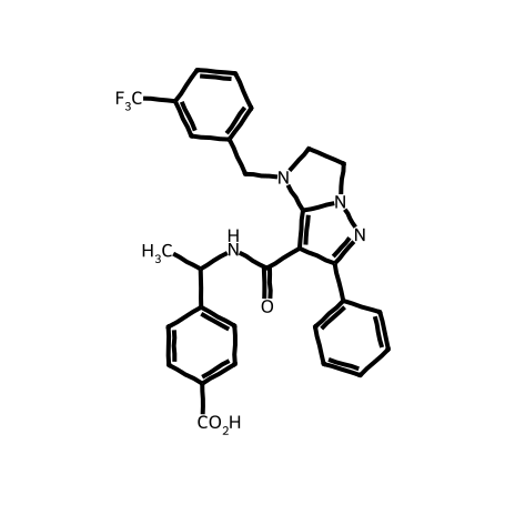 CC(NC(=O)c1c(-c2ccccc2)nn2c1N(Cc1cccc(C(F)(F)F)c1)CC2)c1ccc(C(=O)O)cc1